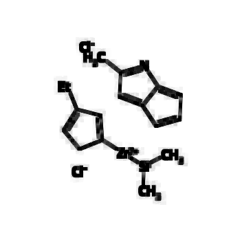 CC1=NC2=CC=CC2=C1.CCC1=CC[C]([Zr+2][Si](C)C)=C1.[Cl-].[Cl-]